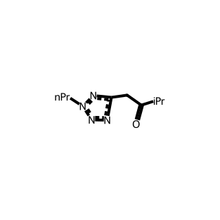 CCCn1nnc(CC(=O)C(C)C)n1